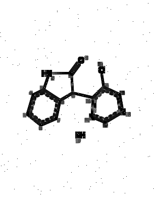 O=C1Nc2ccccc2C1c1ncncc1Cl.[KH]